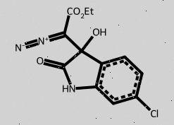 CCOC(=O)C(=[N+]=[N-])C1(O)C(=O)Nc2cc(Cl)ccc21